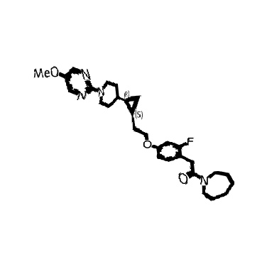 COc1cnc(N2CCC([C@H]3C[C@H]3CCOc3ccc(CC(=O)N4CCCCCC4)c(F)c3)CC2)nc1